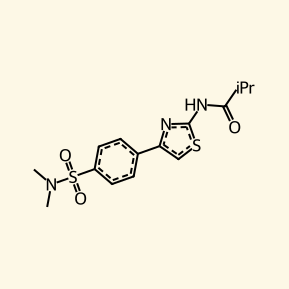 CC(C)C(=O)Nc1nc(-c2ccc(S(=O)(=O)N(C)C)cc2)cs1